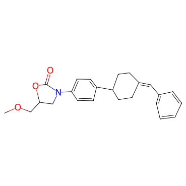 COCC1CN(c2ccc(C3CCC(=Cc4ccccc4)CC3)cc2)C(=O)O1